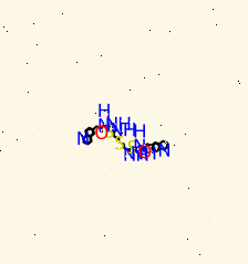 N=C(CCSCCC(=N)SC(=N)NC(=O)Cc1ccc2ncccc2c1)SC(=N)NC(=O)Cc1ccc2c(c1)CCC=N2